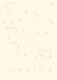 C(C#CC1CC1)#CC1CCC1